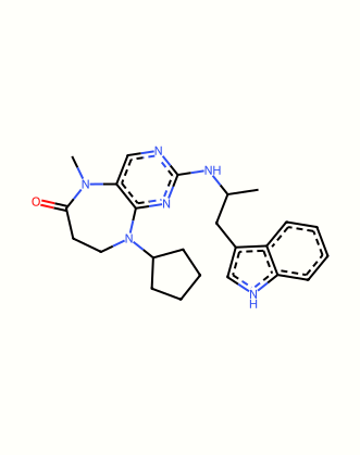 CC(Cc1c[nH]c2ccccc12)Nc1ncc2c(n1)N(C1CCCC1)CCC(=O)N2C